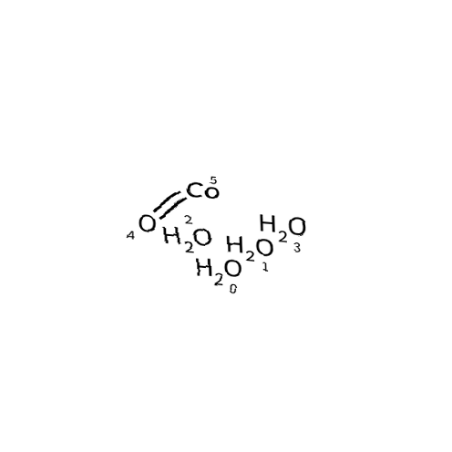 O.O.O.O.[O]=[Co]